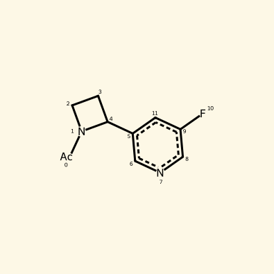 CC(=O)N1CCC1c1cncc(F)c1